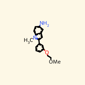 COCCOc1cccc(-c2cc3cc(N)ccc3n2C)c1